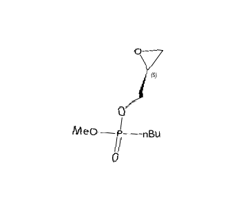 CCCCP(=O)(OC)OC[C@@H]1CO1